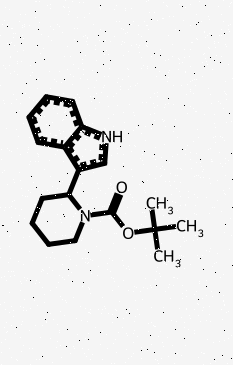 CC(C)(C)OC(=O)N1CCCCC1c1c[nH]c2ccccc12